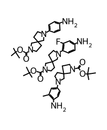 CC(C)(C)OC(=O)N1CCC2(CCN(c3ccc(N)cc3)C2)C1.CC(C)(C)OC(=O)N1CCC2(CCN(c3ccc(N)cc3F)C2)C1.Cc1cc(N2CCC3(CCN(C(=O)OC(C)(C)C)C3)C2)ccc1N